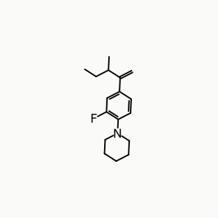 C=C(c1ccc(N2CCCCC2)c(F)c1)C(C)CC